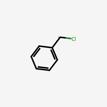 Cl[C]c1ccccc1